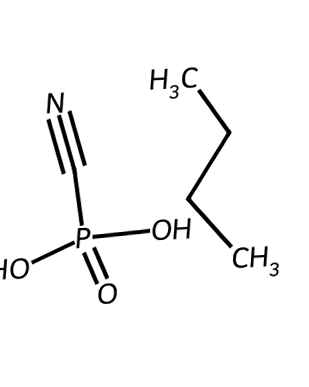 CCCC.N#CP(=O)(O)O